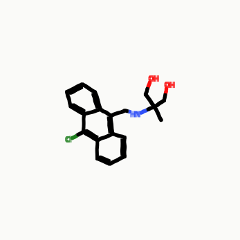 CC(CO)(CO)NCc1c2ccccc2c(Cl)c2ccccc12